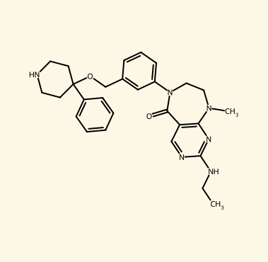 CCNc1ncc2c(n1)N(C)CCN(c1cccc(COC3(c4ccccc4)CCNCC3)c1)C2=O